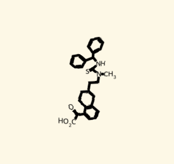 CN(CCC1CCc2c(cccc2C(=O)C(=O)O)C1)C(=S)NC(c1ccccc1)c1ccccc1